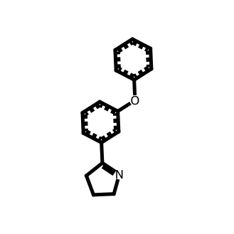 c1ccc(Oc2cccc(C3=NCCC3)c2)cc1